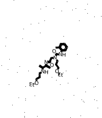 C=C(NCCCOCC)c1coc(CN(CCCOCC)C(=O)Nc2ccccc2C)n1